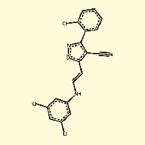 N#Cc1c(-c2ccccc2Cl)noc1C=CNc1cc(Cl)cc(Cl)c1